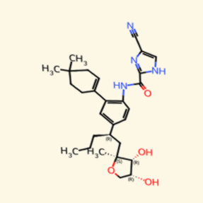 CCC[C@H](C[C@]1(C)OC[C@@H](O)[C@H]1O)c1ccc(NC(=O)c2nc(C#N)c[nH]2)c(C2=CCC(C)(C)CC2)c1